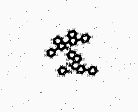 c1ccc(-c2ccc(-c3nc4ccccc4nc3-c3cccc4cc(-n5c6cc(-c7ccccc7)c7ccccc7c6c6c7ccccc7c(-c7ccccc7)cc65)ccc34)cc2)cc1